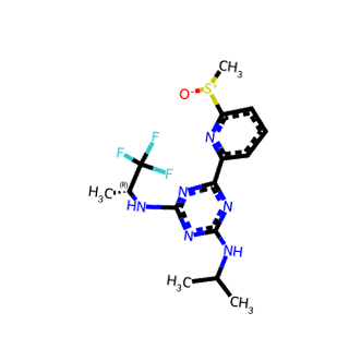 CC(C)Nc1nc(N[C@H](C)C(F)(F)F)nc(-c2cccc([S+](C)[O-])n2)n1